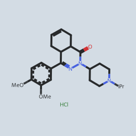 COc1ccc(C2=NN(C3CCN(C(C)C)CC3)C(=O)C3CC=CCC23)cc1OC.Cl